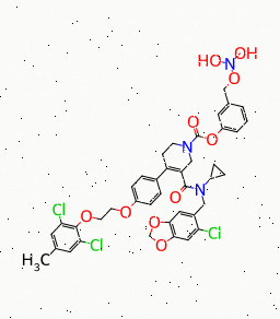 Cc1cc(Cl)c(OCCOc2ccc(C3=C(C(=O)N(Cc4cc5c(cc4Cl)OCO5)C4CC4)CN(C(=O)Oc4cccc(CON(O)O)c4)CC3)cc2)c(Cl)c1